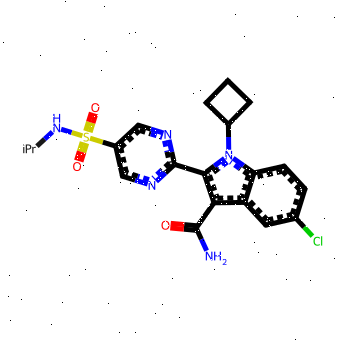 CC(C)NS(=O)(=O)c1cnc(-c2c(C(N)=O)c3cc(Cl)ccc3n2C2CCC2)nc1